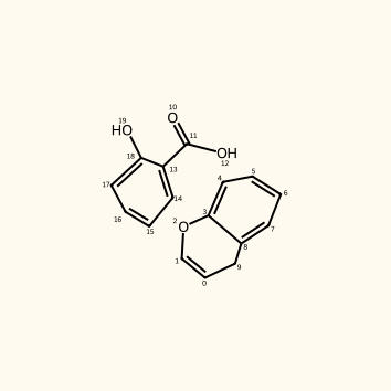 C1=COc2ccccc2C1.O=C(O)c1ccccc1O